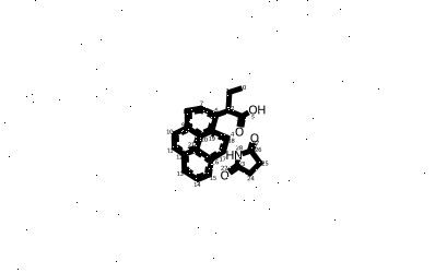 CCC(C(=O)O)c1ccc2ccc3cccc4ccc1c2c34.O=C1CCC(=O)N1